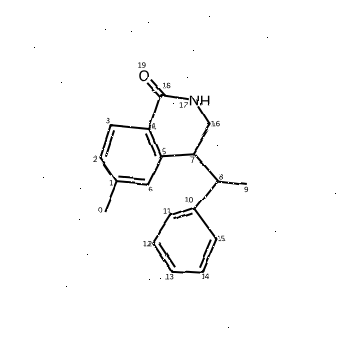 Cc1ccc2c(c1)C(C(C)c1ccccc1)CNC2=O